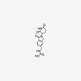 O=C(O)NCc1ccc2c(c1)CN(C1CCC(=O)NC1=O)C2=O